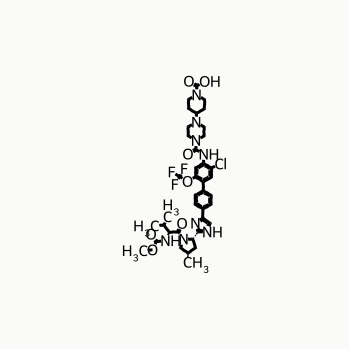 COC(=O)N[C@H](C(=O)N1C[C@@H](C)C[C@H]1c1nc(-c2ccc(-c3cc(Cl)c(NC(=O)N4CCN(C5CCN(C(=O)O)CC5)CC4)cc3OC(F)(F)F)cc2)c[nH]1)C(C)C